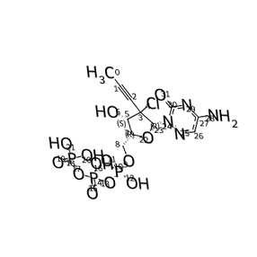 CC#CC1(Cl)[C@@H](O)[C@@H](COP(=O)(O)OP(=O)(O)OP(=O)(O)O)O[C@H]1n1ncc(N)nc1=O